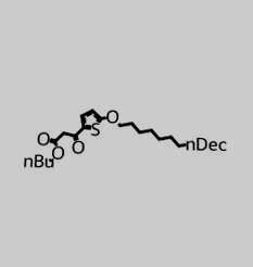 CCCCCCCCCCCCCCCCCOc1ccc(C(=O)CC(=O)OCCCC)s1